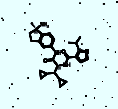 CC(C)n1nccc1C(=O)N[C@H](C(=O)Nc1ccc2c(c1)CC[C@@]2(C)N)C(C1CC1)C1CC1